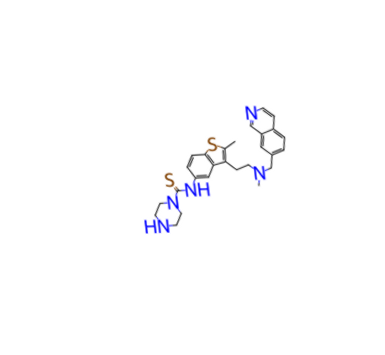 Cc1sc2ccc(NC(=S)N3CCNCC3)cc2c1CCN(C)Cc1ccc2ccncc2c1